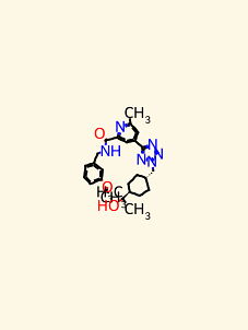 COc1cccc(CNC(=O)c2cc(-c3nnn(C[C@H]4CC[C@H](C(C)(C)O)CC4)n3)cc(C)n2)c1